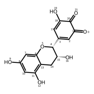 O=C1C=C([C@H]2Oc3cc(O)cc(O)c3C[C@H]2O)C=C(O)C1=O